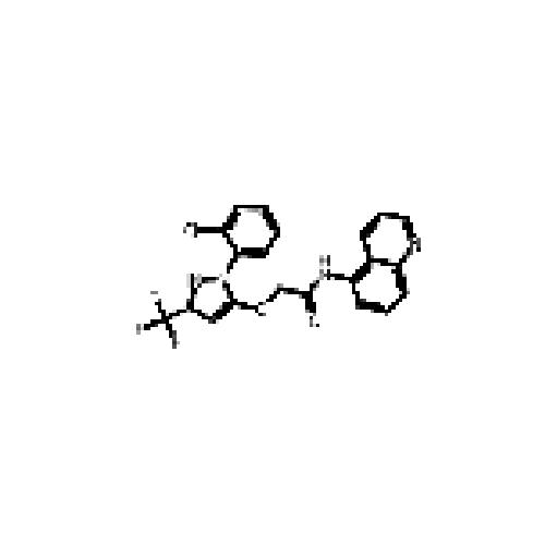 O=C(COC1=CC(C(F)(F)F)NN1c1ccccc1Cl)Nc1cccc2ncccc12